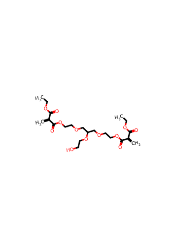 C=C(C(=O)OCC)C(=O)OCCOCC(COCCOC(=O)C(=C)C(=O)OCC)OCCO